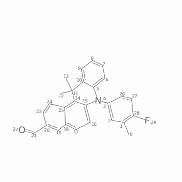 Cc1cc(N2c3ccccc3C(C)(C)c3c2ccc2cc(C=O)ccc32)ccc1F